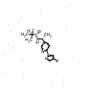 C[C@@H](N[S@@+]([O-])C(C)(C)C)c1ccc(-n2cc(F)cn2)nc1